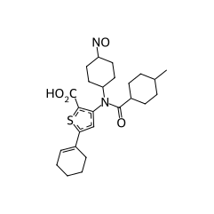 CC1CCC(C(=O)N(c2cc(C3=CCCCC3)sc2C(=O)O)C2CCC(N=O)CC2)CC1